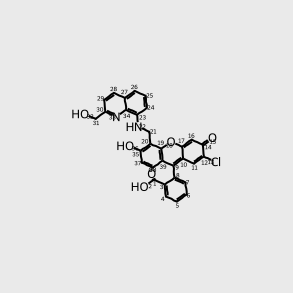 O=C(O)c1ccccc1-c1c2cc(Cl)c(=O)cc-2oc2c(CNc3cccc4ccc(CO)nc34)c(O)ccc12